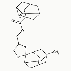 CC12CC3CC(C1)C1(OCC(COC(=O)C45CC6CC(C4)C(=O)C(C6)C5)O1)C(C3)C2